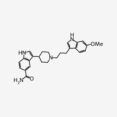 COc1ccc2c(CCCN3CCC(c4c[nH]c5ccc(C(N)=O)cc45)CC3)c[nH]c2c1